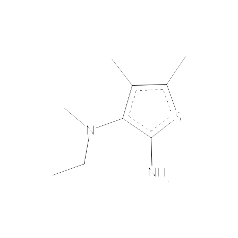 CCN(C)c1c(N)sc(C)c1C